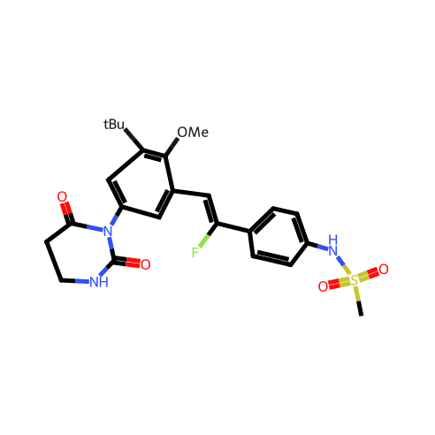 COc1c(C=C(F)c2ccc(NS(C)(=O)=O)cc2)cc(N2C(=O)CCNC2=O)cc1C(C)(C)C